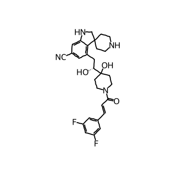 N#Cc1cc(C[C@@H](O)C2(O)CCN(C(=O)/C=C/c3cc(F)cc(F)c3)CC2)c2c(c1)NCC21CCNCC1